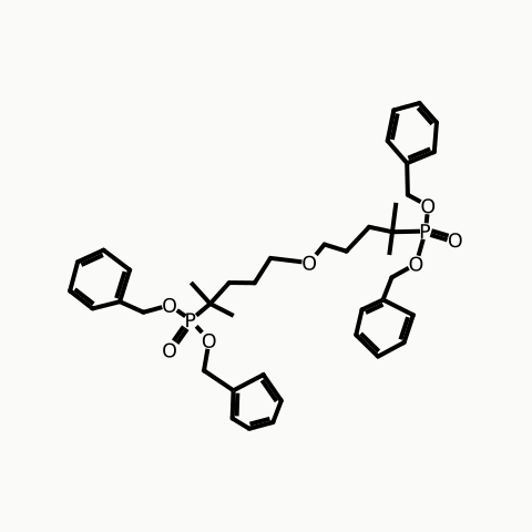 CC(C)(CCCOCCCC(C)(C)P(=O)(OCc1ccccc1)OCc1ccccc1)P(=O)(OCc1ccccc1)OCc1ccccc1